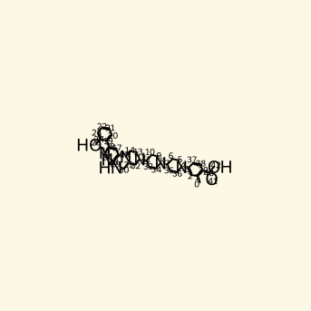 Cc1cc(N2CCC(N3CCC(N4CCN5c6cc(-c7ccccc7O)nnc6NCC5C4)CC3)CC2)ccc1C(=O)O